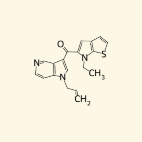 C=CCn1cc(C(=O)c2cc3ccsc3n2CC)c2cnccc21